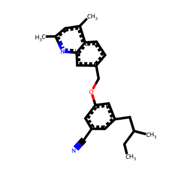 CCC(C)Cc1cc(C#N)cc(OCc2ccc3c(C)cc(C)nc3c2)c1